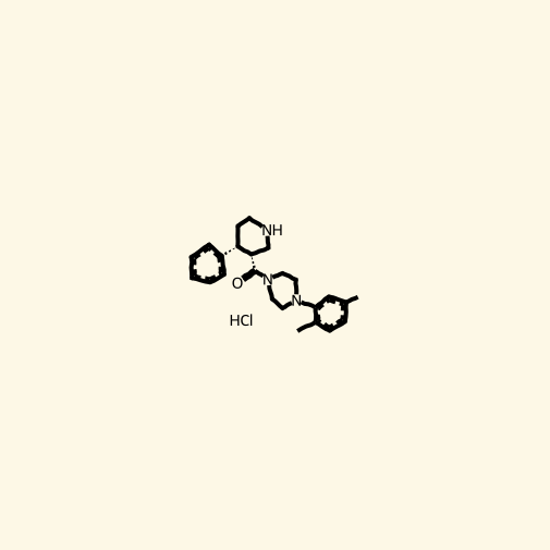 Cc1ccc(C)c(N2CCN(C(=O)[C@H]3CNCC[C@H]3c3ccccc3)CC2)c1.Cl